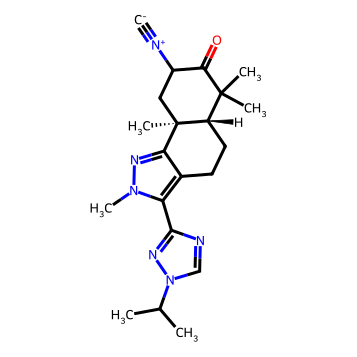 [C-]#[N+]C1C[C@]2(C)c3nn(C)c(-c4ncn(C(C)C)n4)c3CC[C@H]2C(C)(C)C1=O